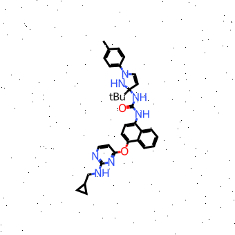 Cc1ccc(N2C=CC(NC(=O)Nc3ccc(Oc4ccnc(NCC5CC5)n4)c4ccccc34)(C(C)(C)C)N2)cc1